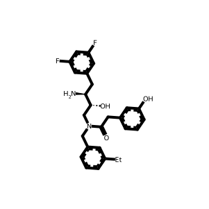 CCc1cccc(CN(C[C@@H](O)[C@@H](N)Cc2cc(F)cc(F)c2)C(=O)Cc2cccc(O)c2)c1